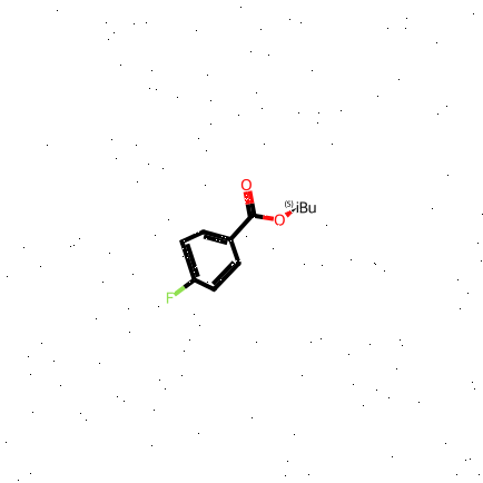 C[CH][C@H](C)OC(=O)c1ccc(F)cc1